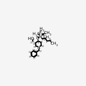 CCCCC[Si](C)(O[C@H]1CCN(Cc2ccccc2)C[C@@H]1CO)C(C)(C)C